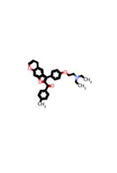 CCN(CC)CCOc1ccc(-c2c(C(=O)c3ccc(C)cc3)oc3cc4c(cc23)CC=CO4)cc1